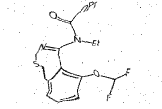 CCCC(=O)N(CC)c1nsc2cccc(OC(F)F)c12